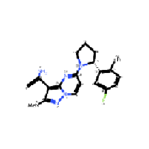 C=C(N)c1c(NC)nn2ccc(N3CCC[C@@H]3c3cc(F)ccc3CCC)nc12